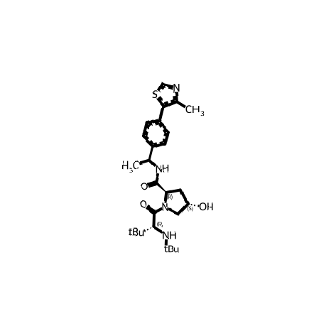 Cc1ncsc1-c1ccc(C(C)NC(=O)[C@H]2C[C@H](O)CN2C(=O)[C@H](NC(C)(C)C)C(C)(C)C)cc1